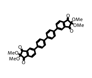 COC1(OC)C(=O)c2ccc(-c3ccc(-c4ccc(-c5ccc6c(c5)C(=O)C(OC)(OC)C6=O)cc4)cc3)cc2C1=O